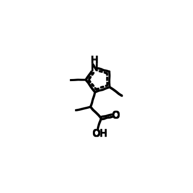 Cc1c[nH]c(C)c1C(C)C(=O)O